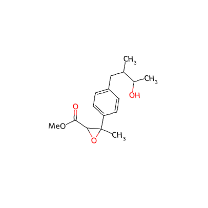 COC(=O)C1OC1(C)c1ccc(CC(C)C(C)O)cc1